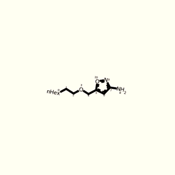 CCCCCCCCOCc1cc(N)no1